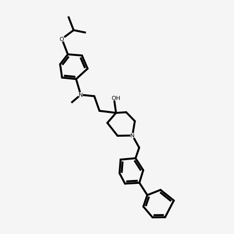 CC(C)Oc1ccc(N(C)CCC2(O)CCN(Cc3cccc(-c4ccccc4)c3)CC2)cc1